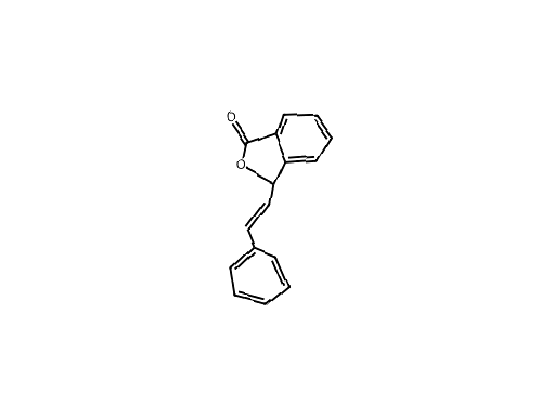 O=C1OC(C=Cc2ccccc2)c2ccccc21